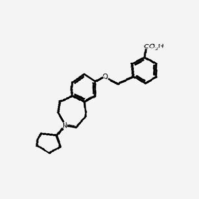 O=C(O)c1cccc(COc2ccc3c(c2)CCN(C2CCCC2)CC3)c1